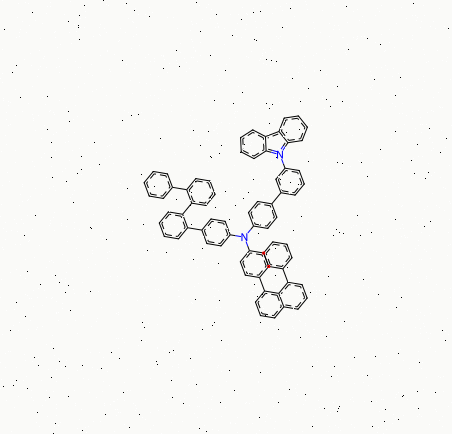 c1ccc(-c2ccccc2-c2ccccc2-c2ccc(N(c3ccc(-c4cccc(-n5c6ccccc6c6ccccc65)c4)cc3)c3ccc(-c4cccc5cccc(-c6ccccc6)c45)cc3)cc2)cc1